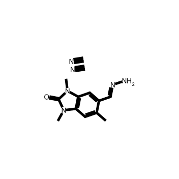 C#N.C#N.Cc1cc2c(cc1C=NN)n(C)c(=O)n2C